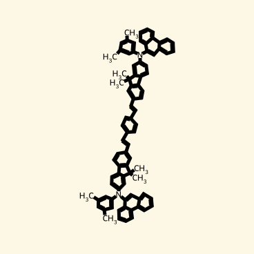 Cc1cc(C)cc(N(c2ccc3c(c2)C(C)(C)c2cc(/C=C/c4ccc(/C=C/c5ccc6c(c5)C(C)(C)c5cc(N(c7cc(C)cc(C)c7)c7cc8ccccc8c8ccccc78)ccc5-6)cc4)ccc2-3)c2cc3ccccc3c3ccccc23)c1